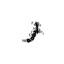 CC[C@H]1CN(c2nc(N)c(C(=O)NCCNS(=O)(=O)C(F)(F)F)nc2Cl)CCN1C1CCN(Cc2ccc(C#N)cc2)CC1